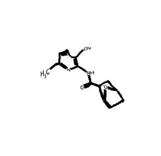 Cc1ccc(O)c(NC(=O)C2CC3CCC2O3)n1